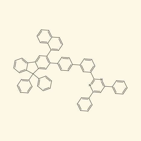 c1ccc(-c2cc(-c3ccccc3)nc(-c3cccc(-c4ccc(-c5cc6c(cc5-c5cccc7ccccc57)-c5ccccc5C6(c5ccccc5)c5ccccc5)cc4)c3)n2)cc1